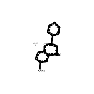 COc1ccc2oc(-c3ccccc3)cc(=O)c2c1.O